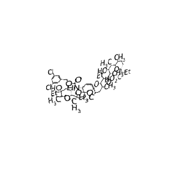 CC[C@@H](C(=O)[C@@H](C)[C@@H](O)[C@H](C)[C@@H]1O[C@@H]([C@@H](CC)C(=O)O)CC[C@@H]1C)[C@H]1O[C@]2(C=C[C@@H](NC(=O)OCc3cc(Cl)cc(Cl)c3)[C@]3(CC[C@@](C)([C@H]4CC[C@](O)(CC)[C@H](C)O4)O3)O2)[C@H](C)C[C@@H]1C